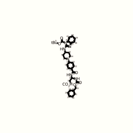 CC(C)(C)OC(=O)n1c(NC2CCN(c3ccc(C(=O)NC(CC(=O)O)NC(=O)OCc4ccccc4)cc3)CC2)nc2ccccc21